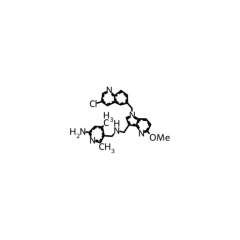 COc1ccc2c(n1)c(CNCc1c(C)cc(N)nc1C)cn2Cc1ccc2ncc(Cl)cc2c1